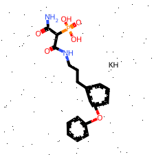 NC(=O)C(C(=O)NCCCc1cccc(Oc2ccccc2)c1)P(=O)(O)O.[KH]